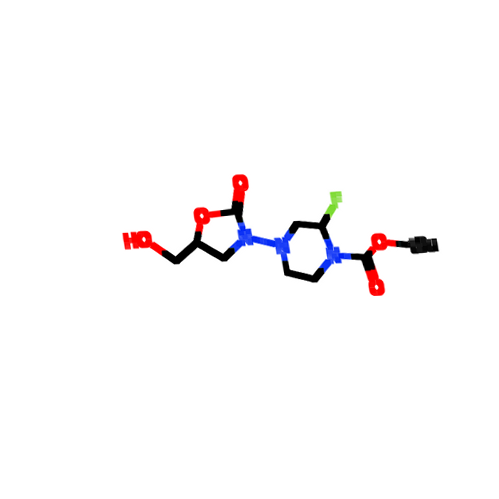 CC(C)(C)OC(=O)N1CCN(N2CC(CO)OC2=O)CC1F